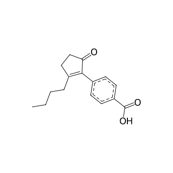 CCCCC1=C(c2ccc(C(=O)O)cc2)C(=O)CC1